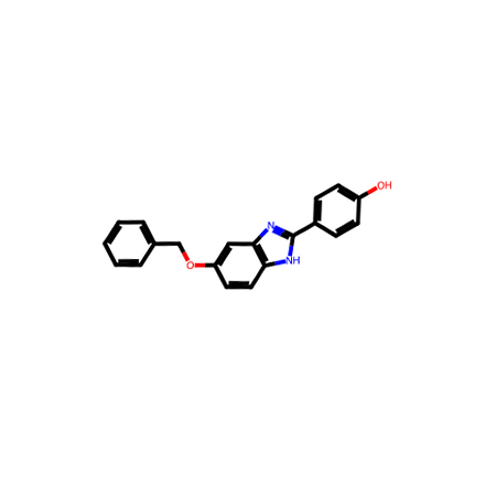 Oc1ccc(-c2nc3cc(OCc4ccccc4)ccc3[nH]2)cc1